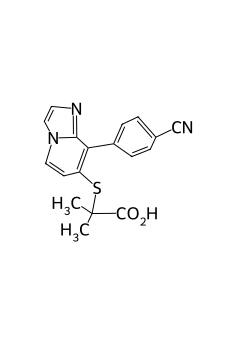 CC(C)(Sc1ccn2ccnc2c1-c1ccc(C#N)cc1)C(=O)O